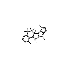 Cc1cccc2c1N1[C@@H](C)c3c(c4c(ccn4C)n3C)C1(C)C(C)(C)C2(C)C